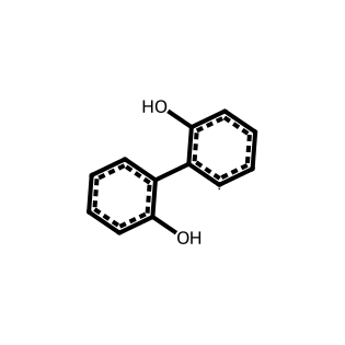 Oc1ccc[c]c1-c1ccccc1O